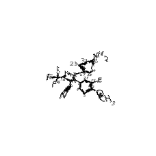 COc1ccc(-c2c(C#N)c(C(F)(F)F)nn2-c2ccc(N)cc2)cc1F